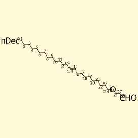 CCCCCCCCCCCCCCCCCCCCCCCCCCCCCCCCCCOCCC=O